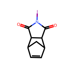 O=C1C2C3C=CC(C3)C2C(=O)N1I